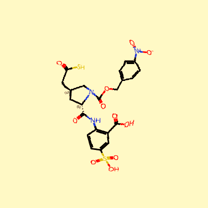 O=C(S)C[C@@H]1C[C@@H](C(=O)Nc2ccc(S(=O)(=O)O)cc2C(=O)O)N(C(=O)OCc2ccc([N+](=O)[O-])cc2)C1